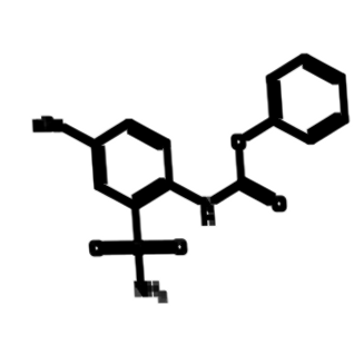 CCCCc1ccc(NC(=O)Oc2ccccc2)c(S(N)(=O)=O)c1